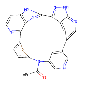 CCCC(=O)n1c2cncc(c2)c2cnc3[nH]nc(c4nc5c(ccnc5c5ccc1s5)[nH]4)c3c2